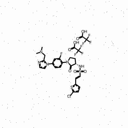 CN(C)Cc1nccn1-c1ccc(N2CC[C@H](NS(=O)(=O)C=Cc3ccc(Cl)s3)C2=O)c(F)c1.O=C(O)C(F)(F)F.O=C(O)C(F)(F)F